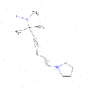 CN(I)C(C)(C)C#CC/C=C/N1CCCC1